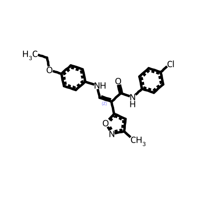 CCOc1ccc(N/C=C(\C(=O)Nc2ccc(Cl)cc2)c2cc(C)no2)cc1